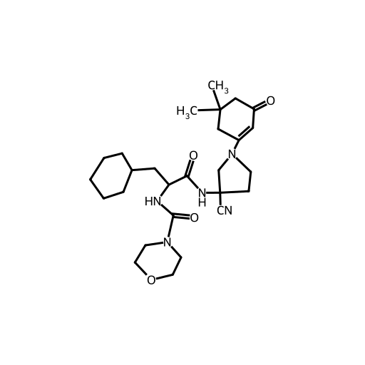 CC1(C)CC(=O)C=C(N2CCC(C#N)(NC(=O)C(CC3CCCCC3)NC(=O)N3CCOCC3)C2)C1